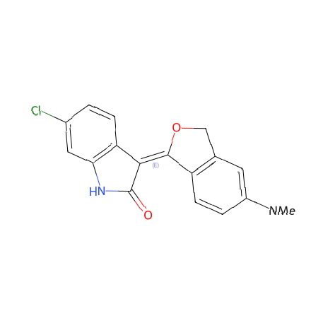 CNc1ccc2c(c1)CO/C2=C1/C(=O)Nc2cc(Cl)ccc21